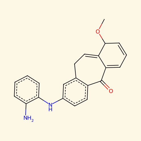 COC1C=CC=C2C(=O)c3ccc(Nc4ccccc4N)cc3CC=C21